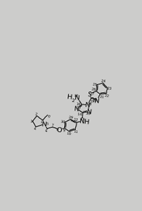 CC1CCCN1CCOc1ccc(Nc2nc(N)n(-c3nc4ccccc4s3)n2)cc1